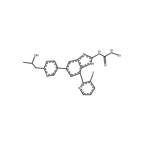 CCNC(=O)Nc1nc2cc(-c3ccc(CC(C)O)nc3)cc(-c3ncccc3F)c2[nH]1